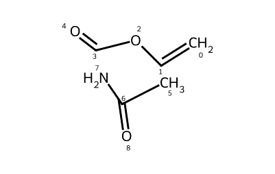 C=COC=O.CC(N)=O